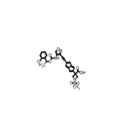 CC(OC(=O)Nc1conc1C#CC1=CC2=CC(C3(C(=O)O)CN(S(C)(=O)=O)C3)=CC2=C1)c1ccccc1Cl